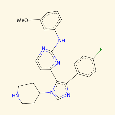 COc1cccc(Nc2nccc(-c3c(-c4ccc(F)cc4)ncn3C3CCNCC3)n2)c1